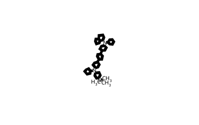 C[Si](C)(C)c1ccc(N(c2ccccc2)c2ccc(-c3ccc(-c4ccc(N(c5ccccc5)c5cccc6ccccc56)cc4)cc3)cc2)cc1